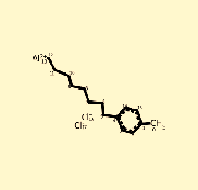 Cc1ccc(CCCCCCC[CH2][Al+2])cc1.[Cl-].[Cl-]